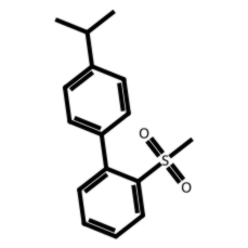 CC(C)c1ccc(-c2ccccc2S(C)(=O)=O)cc1